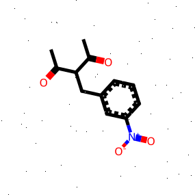 CC(=O)C(Cc1cccc([N+](=O)[O-])c1)C(C)=O